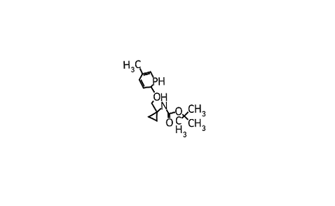 CC1=CPC(OCC2(NC(=O)OC(C)(C)C)CC2)C=C1